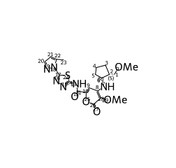 COC[C@H]1CCC[C@H]1Nc1cc(C(=O)Nc2nnc(-n3nccc3C)s2)oc(=O)c1OC